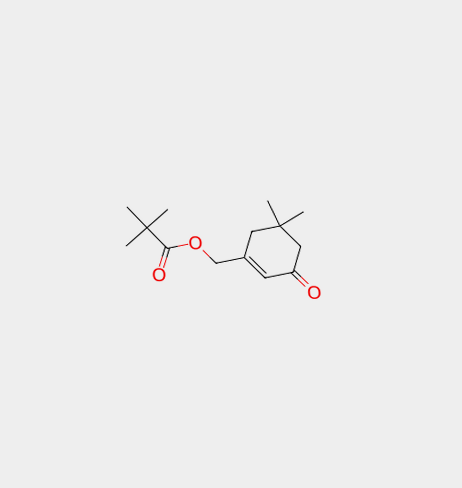 CC1(C)CC(=O)C=C(COC(=O)C(C)(C)C)C1